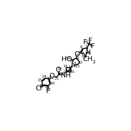 Cn1nc(C(F)(F)F)cc1OC1CCN(C23CC(NC(=O)COc4ccc(Cl)c(F)c4)(C2)C3)C1O